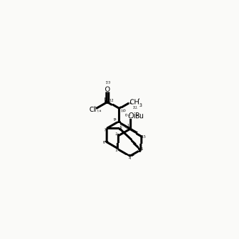 CC(C)COC12CC3CC(CC(C3)C1C(C)C(=O)Cl)C2